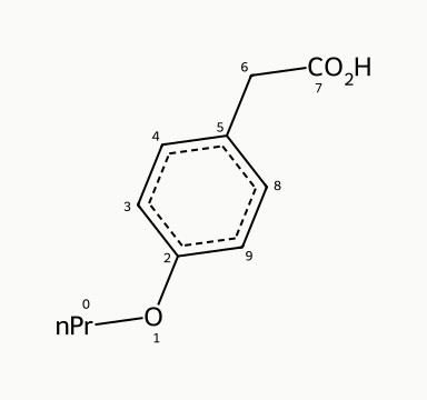 CCCOc1ccc(CC(=O)O)cc1